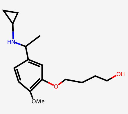 COc1ccc(C(C)NC2CC2)cc1OCCCCO